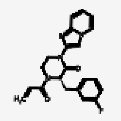 C=CC(=O)N1CCN(c2cn3ccccc3n2)C(=O)[C@@H]1Cc1cccc(F)c1